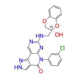 O=c1c2c[nH]nc2c2cnc(NC[C@@]3(O)COc4ccccc4O3)nc2n1-c1cccc(Cl)c1